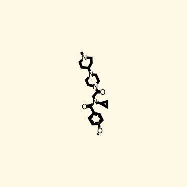 COc1ccc(C(=O)N(CC(=O)N2CCN(C3CCN(C)CC3)CC2)C2CC2)cc1